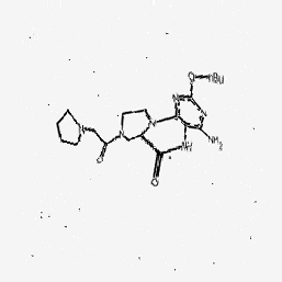 CCCCOc1nc(N)c2c(n1)N1CCN(C(=O)CN3CCCC3)CC1C(=O)N2